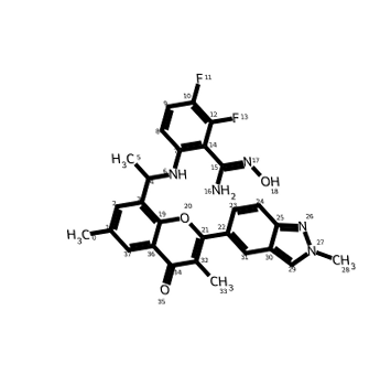 Cc1cc(C(C)Nc2ccc(F)c(F)c2C(N)=NO)c2oc(-c3ccc4nn(C)cc4c3)c(C)c(=O)c2c1